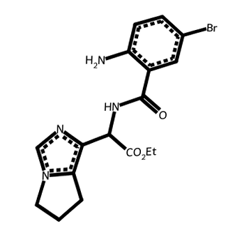 CCOC(=O)C(NC(=O)c1cc(Br)ccc1N)c1ncn2c1CCC2